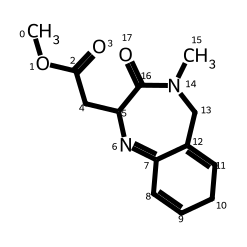 COC(=O)CC1N=C2C=CCC=C2CN(C)C1=O